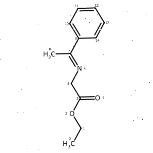 CCOC(=O)CN=C(C)c1ccccc1